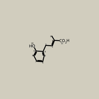 CC(=CCc1ccccc1O)C(=O)O